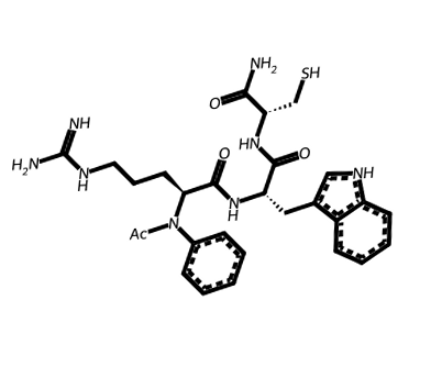 CC(=O)N(c1ccccc1)[C@@H](CCCNC(=N)N)C(=O)N[C@@H](Cc1c[nH]c2ccccc12)C(=O)N[C@@H](CS)C(N)=O